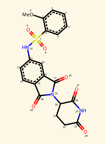 COc1ccccc1S(=O)(=O)Nc1ccc2c(c1)C(=O)N(C1CCC(=O)NC1=O)C2=O